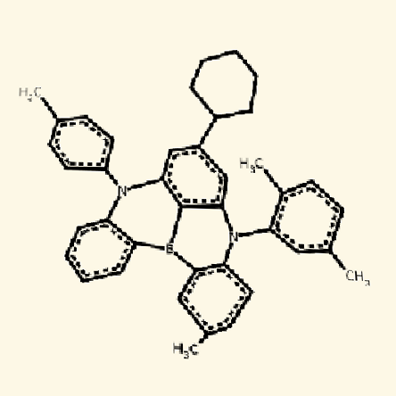 Cc1ccc(N2c3ccccc3B3c4cc(C)ccc4N(c4cc(C)ccc4C)c4cc(C5CCCCC5)cc2c43)cc1